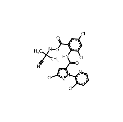 CC(C)(C#N)NOC(=O)c1cc(Cl)cc(Cl)c1NC(=O)c1cc(Cl)nn1-c1ncccc1Cl